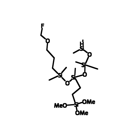 CO[Si](CC[Si](C)(O[Si](C)(C)CCCOCF)O[Si](C)(C)O[SiH](C)C)(OC)OC